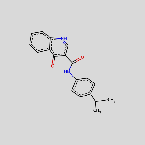 CC(C)c1ccc(NC(=O)c2c[nH]c3ccccc3c2=O)cc1